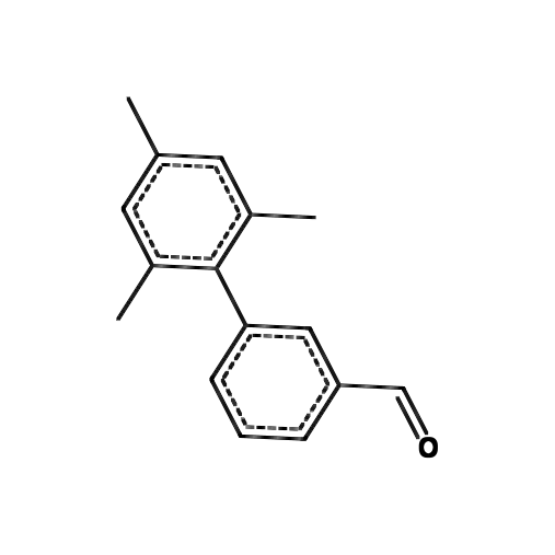 Cc1cc(C)c(-c2cccc(C=O)c2)c(C)c1